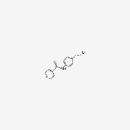 [O]CCc1ccc(NC(=O)c2ccccc2)cc1